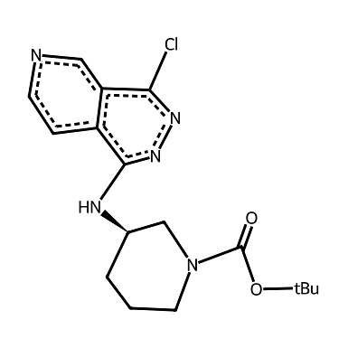 CC(C)(C)OC(=O)N1CCC[C@@H](Nc2nnc(Cl)c3cnccc23)C1